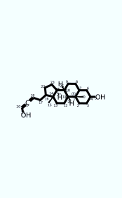 C[C@]12CCC(O)CC1CC[C@@H]1[C@H]2CC[C@]2(C)C(CC=C=CO)CC[C@@H]12